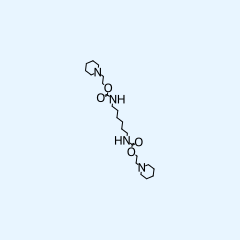 O=C(NCCCCCCNC(=O)OCCN1CCCCC1)OCCN1CCCCC1